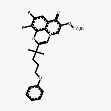 CCOC(=O)Oc1cn2c3c(c(F)c(F)cc3c1=O)OC(C(C)(C)CCCOc1ccccc1)=C2